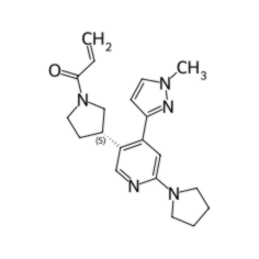 C=CC(=O)N1CC[C@@H](c2cnc(N3CCCC3)cc2-c2ccn(C)n2)C1